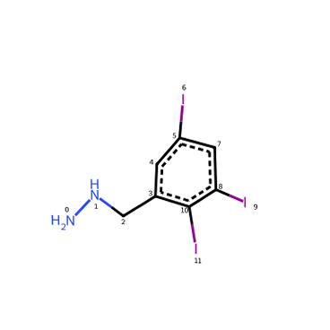 NNCc1cc(I)cc(I)c1I